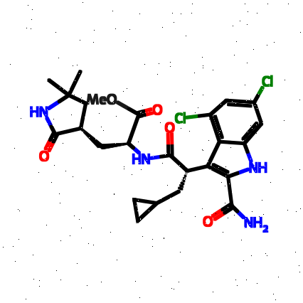 COC(=O)[C@H](C[C@@H]1CC(C)(C)NC1=O)NC(=O)[C@@H](CC1CC1)c1c(C(N)=O)[nH]c2cc(Cl)cc(Cl)c12